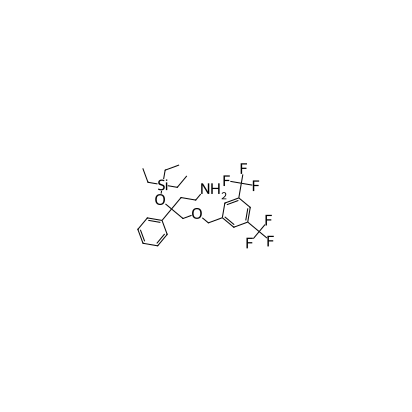 CC[Si](CC)(CC)OC(CCN)(COCc1cc(C(F)(F)F)cc(C(F)(F)F)c1)c1ccccc1